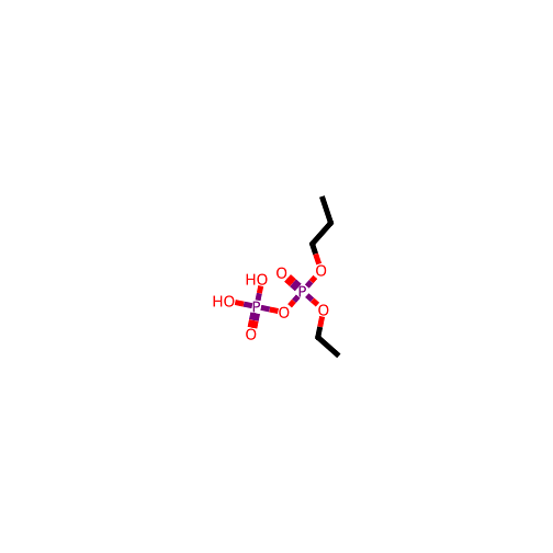 CCCOP(=O)(OCC)OP(=O)(O)O